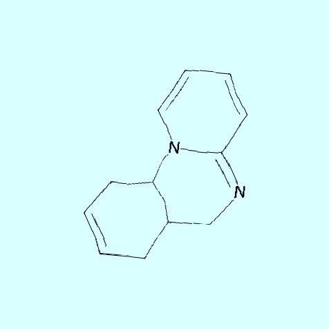 C1=CC2=NCC3CC=CCC3N2C=C1